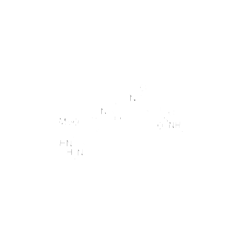 COc1cc(N2CCC3(CCN(C(=O)c4ccc(S(N)(=O)=O)cc4)CC3)C2=O)ccc1/C(C=N)=C/N